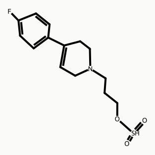 O=[SH](=O)OCCCN1CC=C(c2ccc(F)cc2)CC1